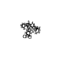 CC(=O)c1ccc(N[N+]2(CCC(CN(C)C(=O)c3ccccc3)c3ccc(Cl)c(Cl)c3)CCCCC2)cc1